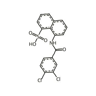 O=C(Nc1cccc2cccc(S(=O)(=O)O)c12)c1ccc(Cl)c(Cl)c1